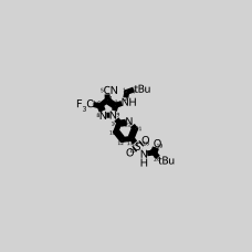 CC(C)(C)CNc1c(C#N)c(C(F)(F)F)nn1-c1ccc(S(=O)(=O)NC(=O)C(C)(C)C)cn1